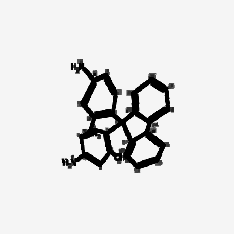 Cc1cc(N)ccc1C1(c2ccc(N)cc2C)c2ccccc2-c2ccccc21